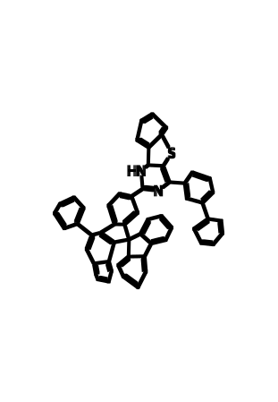 c1ccc(-c2cccc(C3=C4Sc5ccccc5C4NC(c4ccc5c(c4)C4(c6ccccc6-c6ccccc64)c4c-5c(-c5ccccc5)cc5ccccc45)=N3)c2)cc1